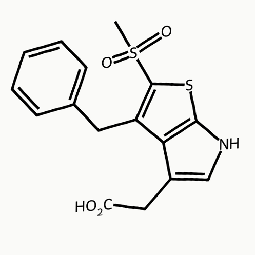 CS(=O)(=O)c1sc2[nH]cc(CC(=O)O)c2c1Cc1ccccc1